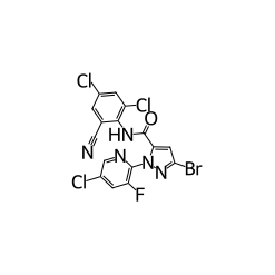 N#Cc1cc(Cl)cc(Cl)c1NC(=O)c1cc(Br)nn1-c1ncc(Cl)cc1F